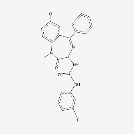 CN1C(=O)C(NC(=O)Nc2cccc(F)c2)N=C(c2ccccc2)c2cc(Cl)ccc21